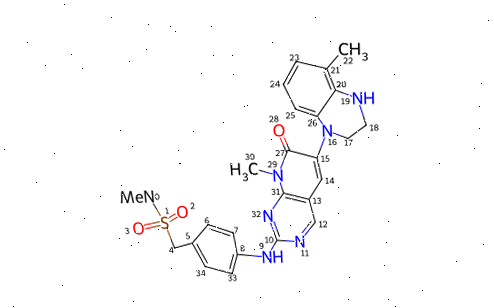 CNS(=O)(=O)Cc1ccc(Nc2ncc3cc(N4CCNc5c(C)cccc54)c(=O)n(C)c3n2)cc1